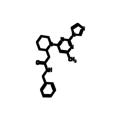 Cc1cc(N2CCCCC2CC(=O)NCc2ccccc2)nc(-n2ccnc2)n1